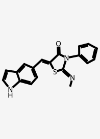 C/N=C1\S/C(=C\c2ccc3[nH]ccc3c2)C(=O)N1c1ccccc1